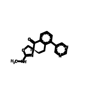 CNC1=N[C@@]2(CCc3c(cccc3-c3cncnc3)C2=O)CO1